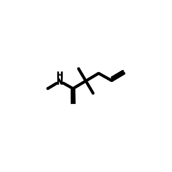 C=CCC(C)(C)C(=C)NC